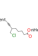 CCCCCC#CC(CCl)CCCCC(=O)OCCCCCCC